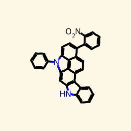 O=[N+]([O-])c1ccccc1-c1ccc2c3c1ccc1c4c(cc(c13)n2-c1ccccc1)[nH]c1ccccc14